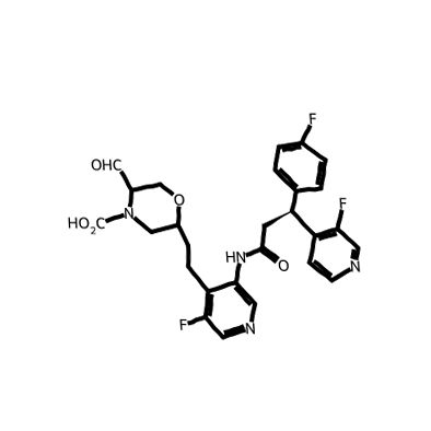 O=CC1COC(CCc2c(F)cncc2NC(=O)C[C@@H](c2ccc(F)cc2)c2ccncc2F)CN1C(=O)O